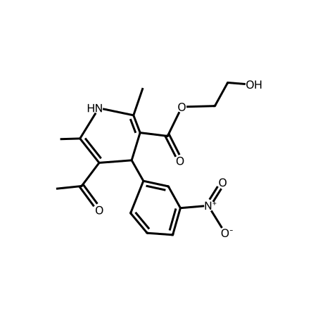 CC(=O)C1=C(C)NC(C)=C(C(=O)OCCO)C1c1cccc([N+](=O)[O-])c1